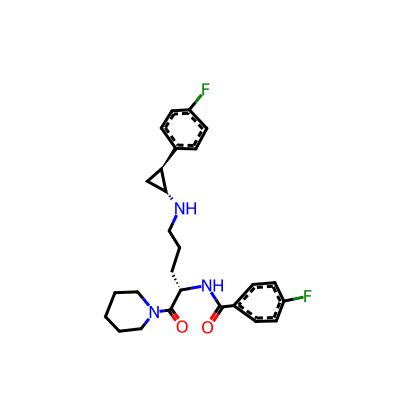 O=C(N[C@@H](CCCN[C@@H]1C[C@H]1c1ccc(F)cc1)C(=O)N1CCCCC1)c1ccc(F)cc1